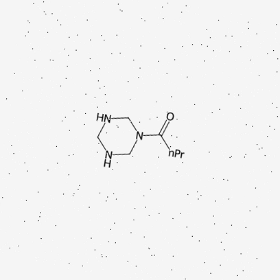 CCCC(=O)N1CNCNC1